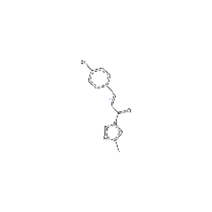 Cc1cn(C(=O)/C=C/c2ccc(Br)cc2)cn1